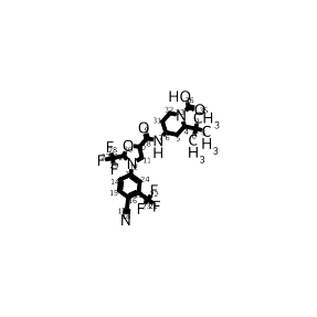 CC(C)(C)C1CC(NC(=O)C2CN(c3ccc(C#N)c(C(F)(F)F)c3)C(C(F)(F)F)O2)CCN1C(=O)O